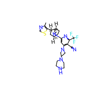 Cc1ncsc1[C@H]1C[C@H]2CC[C@@H]1CN2c1cc(N2CC(N3CCNCC3)C2)c(C#N)c(C(F)(F)F)n1